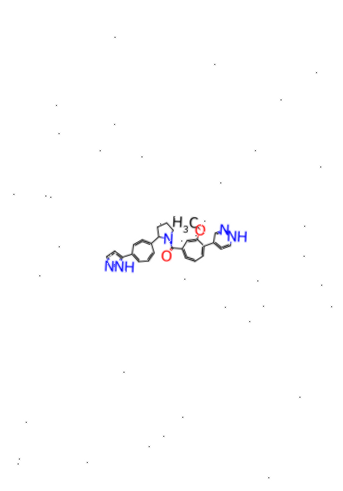 COC1=CC(C(=O)N2CCCC2C2=C=CC(c3ccn[nH]3)=CC=C2)=C=CC=C1C1=C=CNN=C1